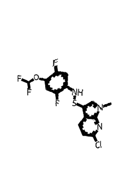 Cn1cc(SNc2cc(F)c(OC(F)F)cc2F)c2ccc(Cl)nc21